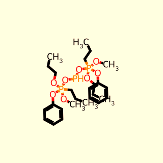 CCCOP(CCC)(OC)(OPOP(CCC)(OC)(OCCC)Oc1ccccc1)Oc1ccccc1